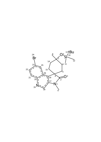 CN1C(=O)C2(CCC(C)(O[Si](C)(C)C(C)(C)C)CC2)c2c1cnc1ccc(Br)cc21